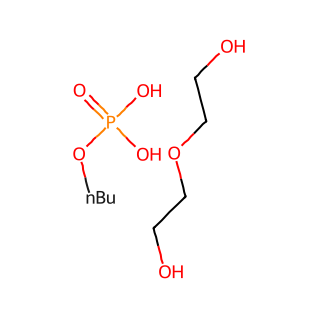 CCCCOP(=O)(O)O.OCCOCCO